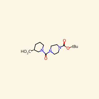 CC(C)(C)OC(=O)N1CCN(C(=O)N2CCC[C@H](C(=O)O)C2)CC1